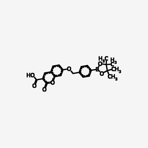 CC1(C)OB(c2ccc(COc3ccc4cc(C(=O)O)c(=O)oc4c3)cc2)OC1(C)C